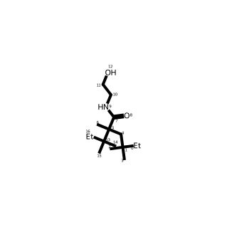 CCC(C)(C)CC(C)(C(=O)NCCO)C(C)(C)CC